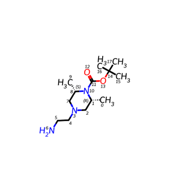 C[C@@H]1CN(CCN)C[C@H](C)N1C(=O)OC(C)(C)C